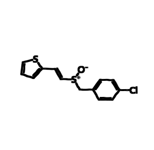 [O-][S+](C=Cc1cccs1)Cc1ccc(Cl)cc1